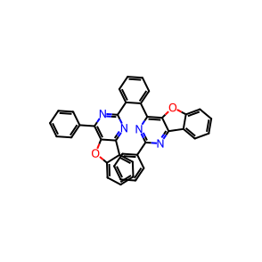 c1ccc(-c2nc(-c3ccccc3-c3nc(-c4ccccc4)c4oc5ccccc5c4n3)c3oc4ccccc4c3n2)cc1